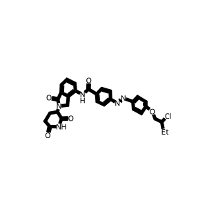 CCC(Cl)COc1ccc(/N=N/c2ccc(C(=O)Nc3cccc4c3CN(C3CCC(=O)NC3=O)C4=O)cc2)cc1